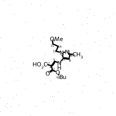 CCC(C)OC(=O)C(=CNc1cc(C)nn1CCCOC)C(=O)O